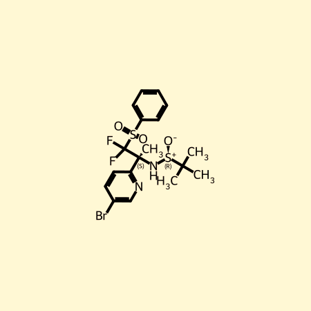 CC(C)(C)[S@+]([O-])N[C@@](C)(c1ccc(Br)cn1)C(F)(F)S(=O)(=O)c1ccccc1